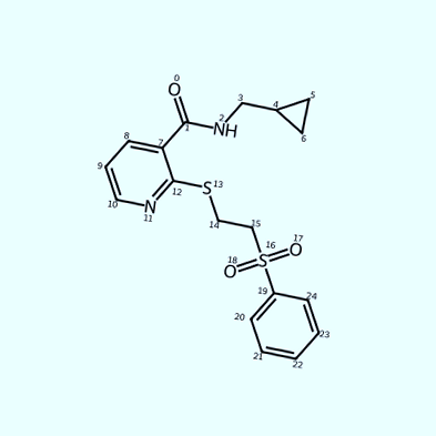 O=C(NCC1CC1)c1cccnc1SCCS(=O)(=O)c1ccccc1